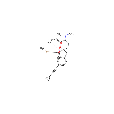 CN=C1CCC2(CC1=C(C)C)Cc1ccc(C#CC3CC3)cc1C21N=C(SC)N(C)C1=O